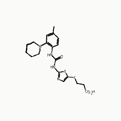 Cc1ccc(NC(=O)Nc2ncc(SCCC(=O)O)s2)c(N2CCCCC2)c1